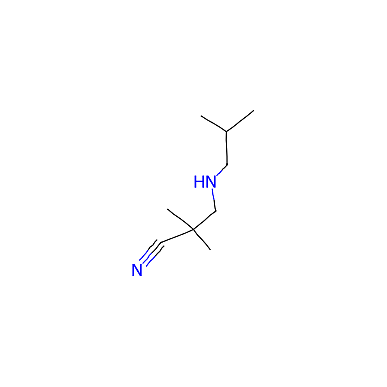 CC(C)CNCC(C)(C)C#N